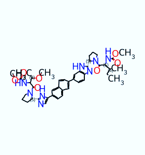 CC[C@H](C)[C@H](NC(=O)OC)C(=O)N1CCC[C@H]1c1nc2ccc(-c3ccc4cc(-c5cnc([C@@H]6CCCN6C(=O)C(NC(=O)OC)[C@@H](C)OC)[nH]5)ccc4c3)cc2[nH]1